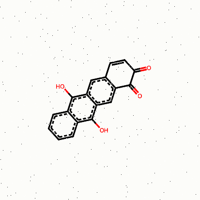 O=C1C=Cc2cc3c(O)c4ccccc4c(O)c3cc2C1=O